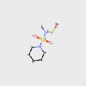 CN(SBr)S(=O)(=O)N1CCCCC1